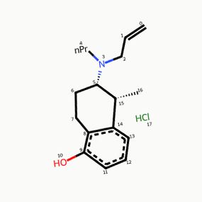 C=CCN(CCC)[C@H]1CCc2c(O)cccc2[C@H]1C.Cl